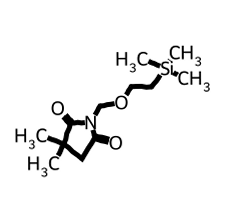 CC1(C)CC(=O)N(COCC[Si](C)(C)C)C1=O